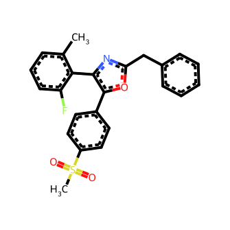 Cc1cccc(F)c1-c1nc(Cc2ccccc2)oc1-c1ccc(S(C)(=O)=O)cc1